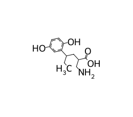 CCC(CC(CN)C(=O)O)c1cc(O)ccc1O